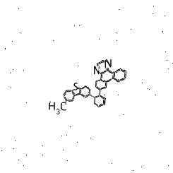 Cc1ccc2sc3ccc(-c4ccccc4-c4ccc5c(c4)c4ccccc4c4nccnc54)cc3c2c1